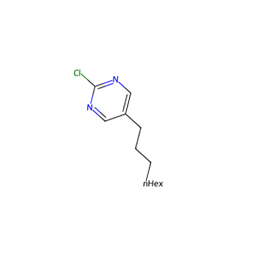 CCCCCCCCCc1cnc(Cl)nc1